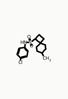 CC1CCC2(CC1)CCC2S(=O)(=O)Nc1ccc(Cl)cc1